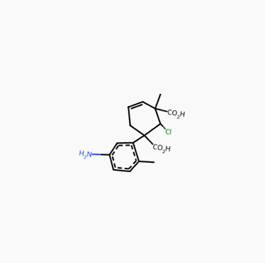 Cc1ccc(N)cc1C1(C(=O)O)CC=CC(C)(C(=O)O)C1Cl